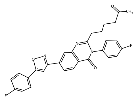 CC(=O)CCCCc1nc2cc(-c3cc(-c4ccc(F)cc4)on3)ccc2c(=O)n1-c1ccc(F)cc1